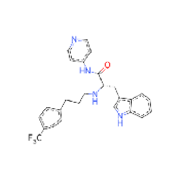 O=C(Nc1ccncc1)[C@H](Cc1c[nH]c2ccccc12)NCCCc1ccc(C(F)(F)F)cc1